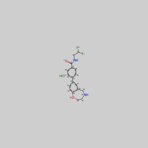 Cl.O=C(NCC(F)F)c1ccc(-c2ccc3c(c2)CNCCO3)cc1